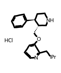 CC(C)Cc1ncccc1OC[C@H]1CNCC[C@@H]1c1ccccc1.Cl